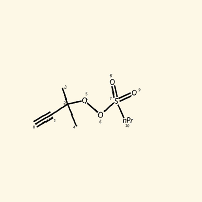 C#CC(C)(C)OOS(=O)(=O)CCC